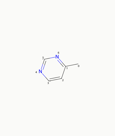 Cc1c[c]n[c]n1